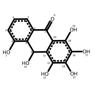 O=C1c2cccc(O)c2C(O)c2c(O)c(O)c(O)c(O)c21